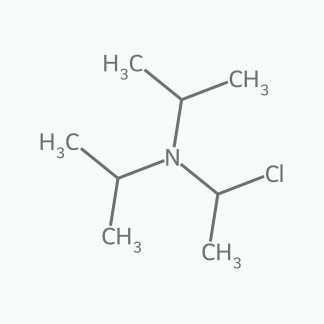 CC(C)N(C(C)C)C(C)Cl